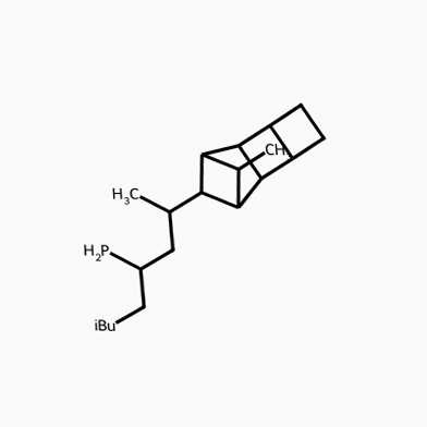 CCC(C)CC(P)CC(C)C1C2C(C)C1C1C3CCC3C21